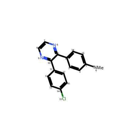 CNc1ccc(-c2nccnc2-c2ccc(Cl)cc2)cc1